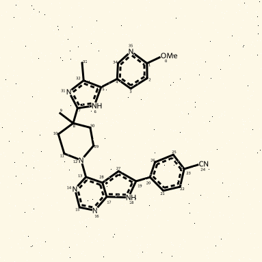 COc1ccc(-c2[nH]c(C3(C)CCN(c4ncnc5[nH]c(-c6ccc(C#N)cc6)cc45)CC3)nc2C)cn1